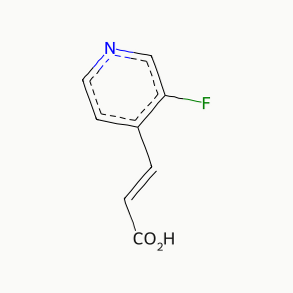 O=C(O)C=Cc1ccncc1F